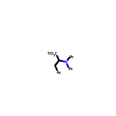 CC(=O)CC(C(=O)O)N(C(C)C)C(C)C